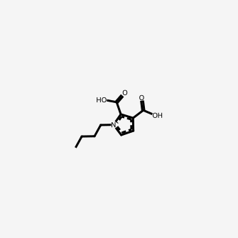 CCCCn1ccc(C(=O)O)c1C(=O)O